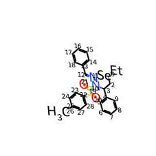 CC[Se]CC(c1ccccc1)N(N=Cc1ccccc1)S(=O)(=O)c1ccc(C)cc1